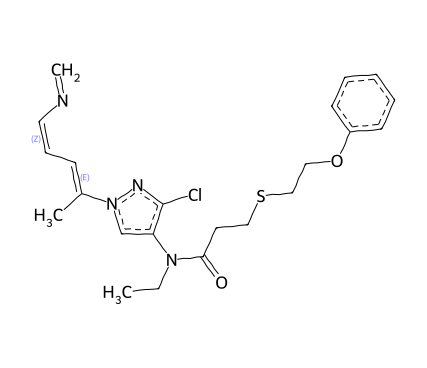 C=N/C=C\C=C(/C)n1cc(N(CC)C(=O)CCSCCOc2ccccc2)c(Cl)n1